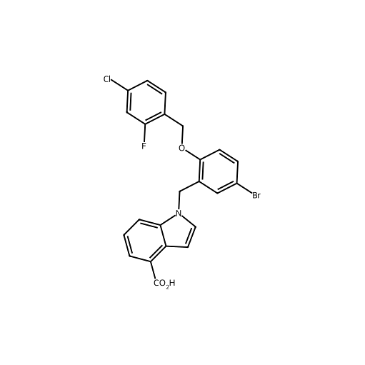 O=C(O)c1cccc2c1ccn2Cc1cc(Br)ccc1OCc1ccc(Cl)cc1F